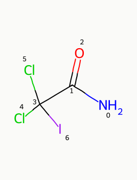 NC(=O)C(Cl)(Cl)I